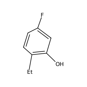 CCc1ccc(F)cc1O